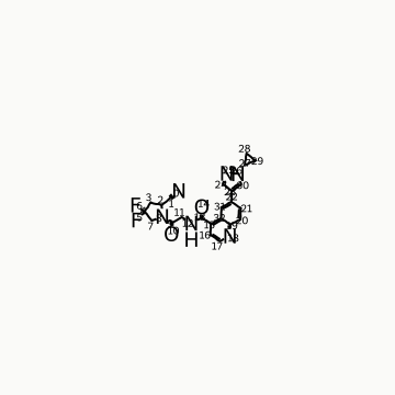 N#CC1CC(F)(F)CN1C(=O)CNC(=O)c1ccnc2ccc(-c3cnn(C4CC4)c3)cc12